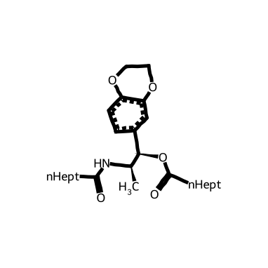 CCCCCCCC(=O)N[C@H](C)[C@H](OC(=O)CCCCCCC)c1ccc2c(c1)OCCO2